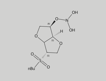 CCCCS(=O)(=O)[C@H]1CO[C@H]2C1OC[C@H]2ON(O)O